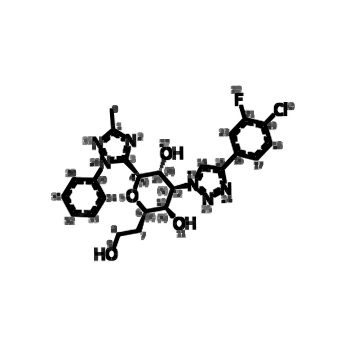 Cc1nc([C@@H]2O[C@H](CCO)[C@H](O)[C@H](n3cc(-c4ccc(Cl)c(F)c4)nn3)[C@H]2O)n(-c2ccccc2)n1